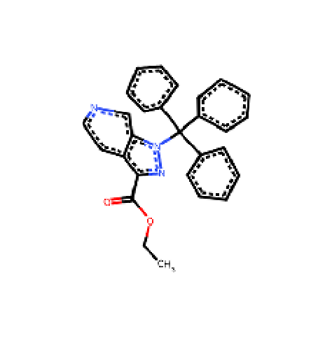 CCOC(=O)c1nn(C(c2ccccc2)(c2ccccc2)c2ccccc2)c2cnccc12